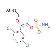 COCO[C@@H](c1cc(Cl)ccc1Cl)[C@H](C)OS(N)(=O)=O